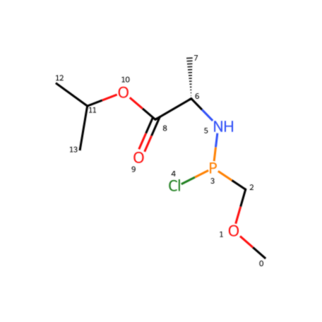 COCP(Cl)N[C@@H](C)C(=O)OC(C)C